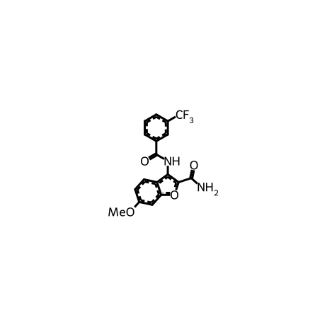 COc1ccc2c(NC(=O)c3cccc(C(F)(F)F)c3)c(C(N)=O)oc2c1